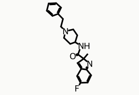 CC1(C(=O)NC2CCN(CCc3ccccc3)CC2)C=c2cc(F)ccc2=N1